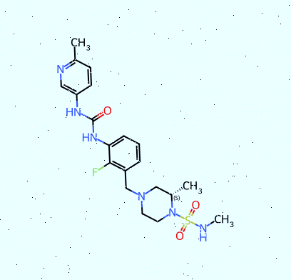 CNS(=O)(=O)N1CCN(Cc2cccc(NC(=O)Nc3ccc(C)nc3)c2F)C[C@@H]1C